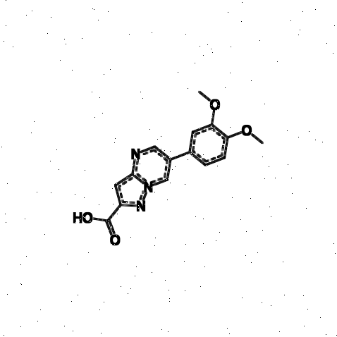 COc1ccc(-c2cnc3cc(C(=O)O)nn3c2)cc1OC